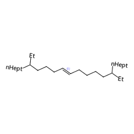 [CH2]CCCCCCC(CC)CCC/C=C/CCCCC(CC)CCCCCC[CH2]